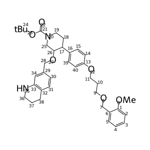 COc1ccccc1COCCCOc1ccc(C2CCN(C(=O)OC(C)(C)C)CC2OCc2ccc3c(c2)NCCC3)cc1